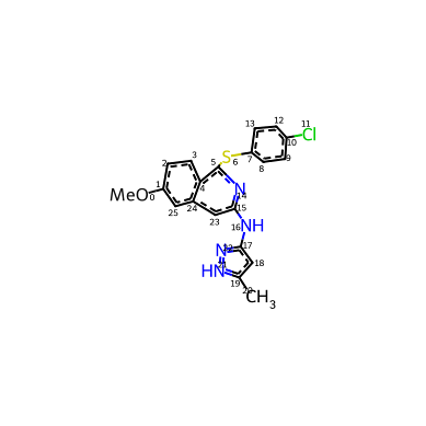 COc1ccc2c(Sc3ccc(Cl)cc3)nc(Nc3cc(C)[nH]n3)cc2c1